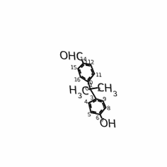 CC(C)(c1ccc(O)cc1)c1ccc(C=O)cc1